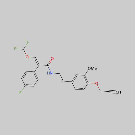 C#CCOc1ccc(CCNC(=O)/C(=C/OC(F)F)c2ccc(F)cc2)cc1OC